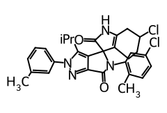 Cc1cccc(-n2nc3c(c2C(C)C)C2(C(=O)NC4=C2CCC(Cl)C4)N(c2cc(Cl)ccc2C)C3=O)c1